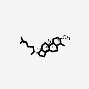 CC(C)=CCCC(C)[C@H]1CCC2=C3CCC4C(C)[C@@H](O)CC[C@]4(C)[C@H]3CC[C@@]21C